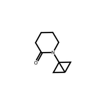 O=C1CCCCN1C12CC1C2